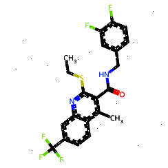 CCSc1nc2cc(C(F)(F)F)ccc2c(C)c1C(=O)NCc1ccc(F)c(F)c1